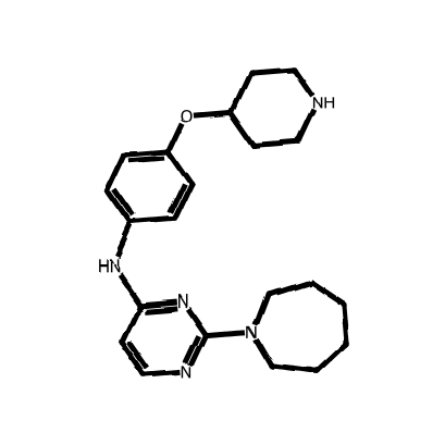 c1cc(Nc2ccc(OC3CCNCC3)cc2)nc(N2CCCCCC2)n1